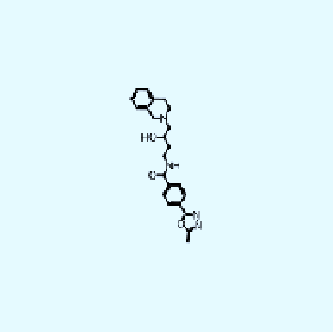 Cc1nnc(-c2ccc(C(=O)NCCC(O)CN3CCc4ccccc4C3)cc2)o1